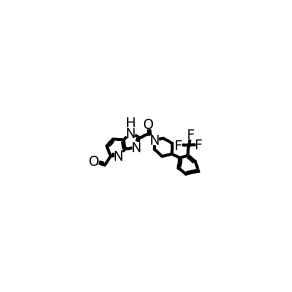 O=Cc1ccc2[nH]c(C(=O)N3CCC(c4ccccc4C(F)(F)F)CC3)nc2n1